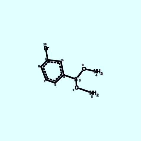 NOB(ON)c1cccc(Br)c1